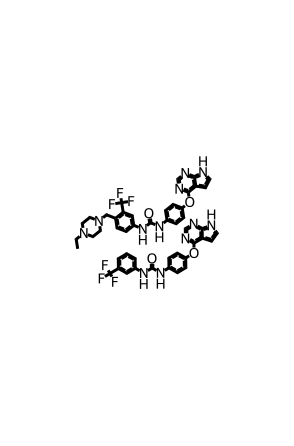 CCN1CCN(Cc2ccc(NC(=O)Nc3ccc(Oc4ncnc5[nH]ccc45)cc3)cc2C(F)(F)F)CC1.O=C(Nc1ccc(Oc2ncnc3[nH]ccc23)cc1)Nc1cccc(C(F)(F)F)c1